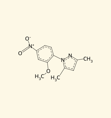 COc1cc([N+](=O)[O-])ccc1-n1nc(C)cc1C